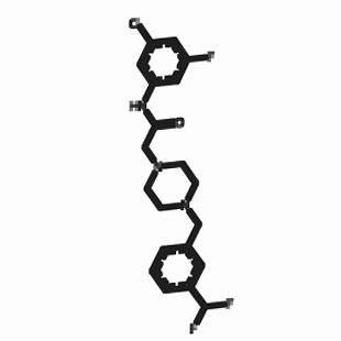 O=C(CN1CCN(Cc2cccc(C(F)F)c2)CC1)Nc1cc(F)cc(Cl)c1